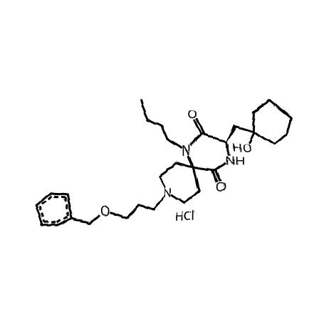 CCCCN1C(=O)[C@@H](CC2(O)CCCCC2)NC(=O)C12CCN(CCCOCc1ccccc1)CC2.Cl